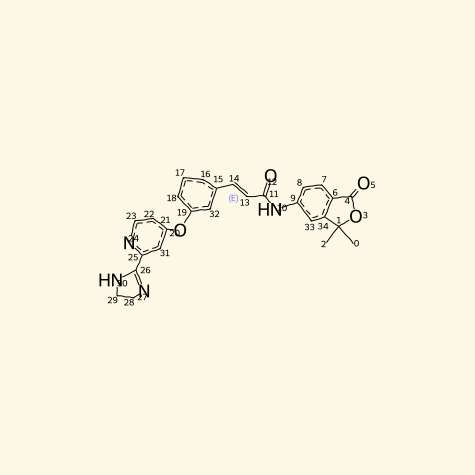 CC1(C)OC(=O)c2ccc(NC(=O)/C=C/c3cccc(Oc4ccnc(C5=NCCN5)c4)c3)cc21